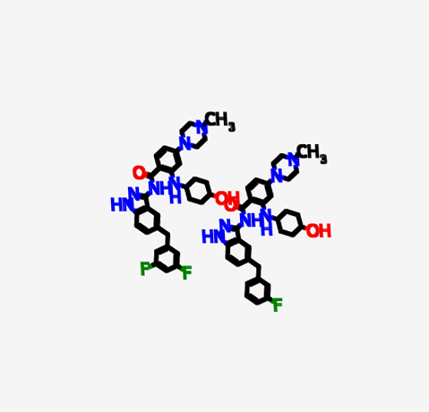 CN1CCN(c2ccc(C(=O)Nc3n[nH]c4ccc(Cc5cc(F)cc(F)c5)cc34)c(NC3CCC(O)CC3)c2)CC1.CN1CCN(c2ccc(C(=O)Nc3n[nH]c4ccc(Cc5cccc(F)c5)cc34)c(NC3CCC(O)CC3)c2)CC1